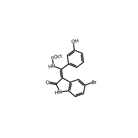 CCCCCCCCN/C(=C1\C(=O)Nc2ccc(Br)cc21)c1cccc(O)c1